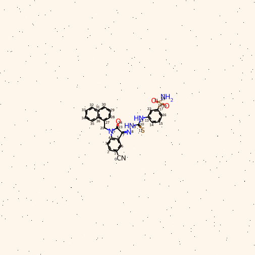 N#Cc1ccc2c(c1)C(=NNC(=S)Nc1cccc(S(N)(=O)=O)c1)C(=O)N2Cc1cccc2ccccc12